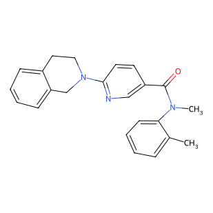 Cc1ccccc1N(C)C(=O)c1ccc(N2CCc3ccccc3C2)nc1